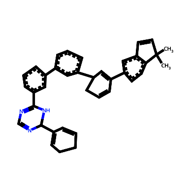 CC1(C)C=Cc2cc(C3=CC(c4cccc(-c5cccc(C6=NC=NC(C7=CCCC=C7)N6)c5)c4)CC=C3)ccc21